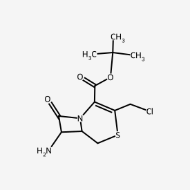 CC(C)(C)OC(=O)C1=C(CCl)SCC2C(N)C(=O)N12